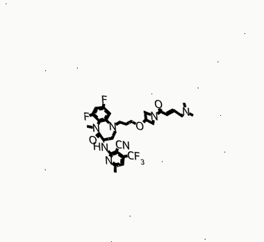 Cc1cc(C(F)(F)F)c(C#N)c(N[C@H]2CCN(CCCOC3CN(C(=O)/C=C/CN(C)C)C3)c3cc(F)cc(F)c3N(C)C2=O)n1